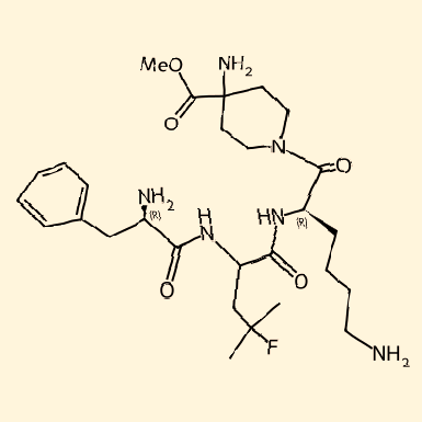 COC(=O)C1(N)CCN(C(=O)[C@@H](CCCCN)NC(=O)C(CC(C)(C)F)NC(=O)[C@H](N)Cc2ccccc2)CC1